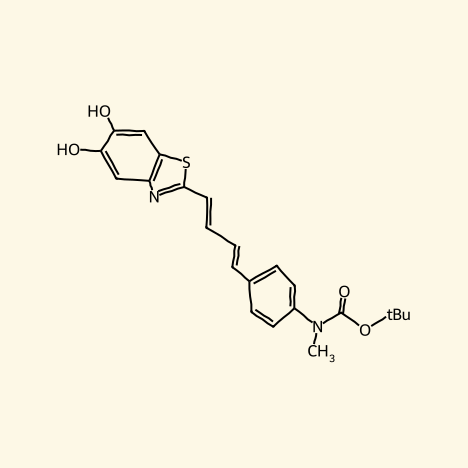 CN(C(=O)OC(C)(C)C)c1ccc(/C=C/C=C/c2nc3cc(O)c(O)cc3s2)cc1